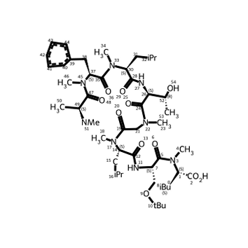 CC[C@H](C)[C@@H](C(=O)O)N(C)C(=O)[C@H](COC(C)(C)C)NC(=O)[C@H](CC(C)C)N(C)C(=O)CN(C)C(=O)[C@@H](NC(=O)[C@H](CC(C)C)N(C)C(=O)[C@H](Cc1ccccc1)N(C)C(=O)[C@H](C)NC)[C@@H](C)O